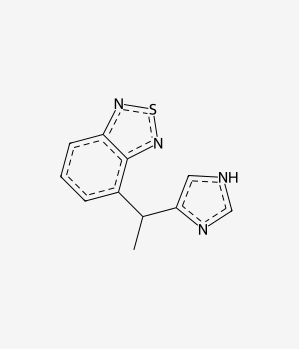 CC(c1c[nH]cn1)c1cccc2nsnc12